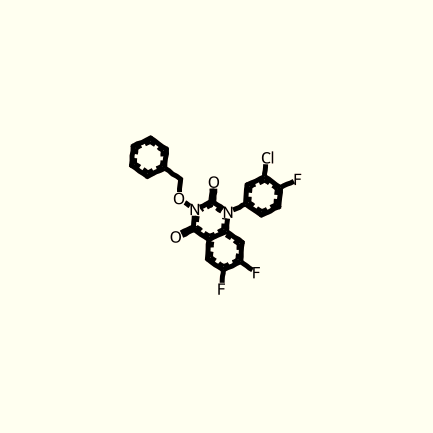 O=c1c2cc(F)c(F)cc2n(-c2ccc(F)c(Cl)c2)c(=O)n1OCc1ccccc1